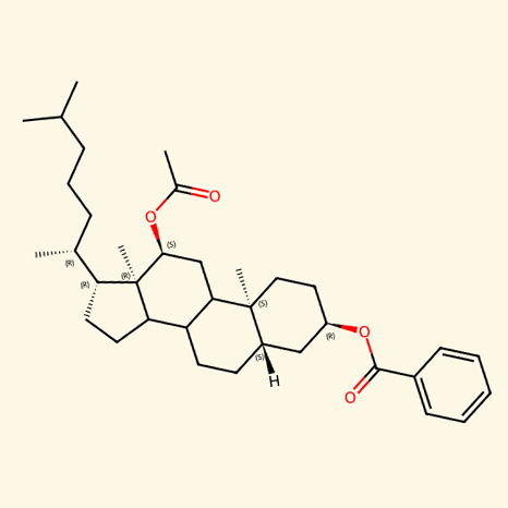 CC(=O)O[C@H]1CC2C(CC[C@H]3C[C@H](OC(=O)c4ccccc4)CC[C@]23C)C2CC[C@H]([C@H](C)CCCC(C)C)[C@]21C